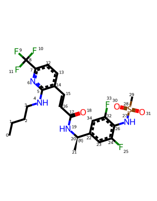 CCCCNc1nc(C(F)(F)F)ccc1C=CC(=O)N[C@H](C)c1cc(F)c(NS(C)(=O)=O)c(F)c1